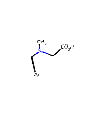 CC(=O)CN(C)CC(=O)O